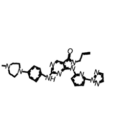 C=CCn1c(=O)c2cnc(Nc3ccc(N4CCN(C)CC4)cc3)nc2n1-c1cccc(-n2nccn2)n1